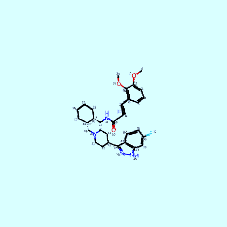 COc1cccc(/C=C/C(=O)NC[C@@H]2CCCC[C@H]2CN2CCC(c3n[nH]c4cc(F)ccc34)CC2)c1OC